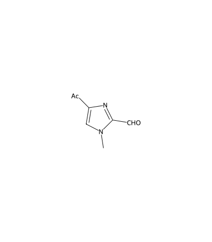 CC(=O)c1cn(C)c(C=O)n1